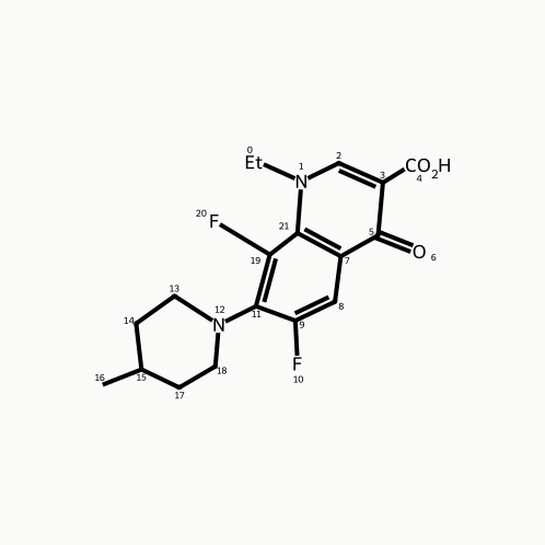 CCn1cc(C(=O)O)c(=O)c2cc(F)c(N3CCC(C)CC3)c(F)c21